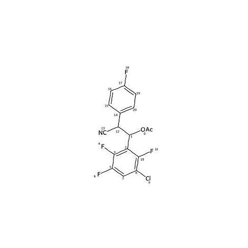 CC(=O)OC(c1c(F)c(F)cc(Cl)c1F)C(C#N)c1ccc(F)cc1